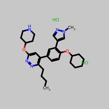 CCCCc1nnc(OC2CCNCC2)cc1-c1ccc(OC2CCCCC2)c(-c2cnn(C)c2)c1.Cl.Cl